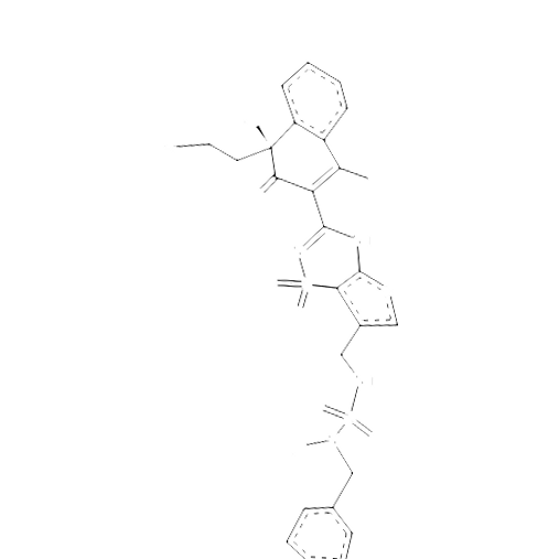 CC(C)(C)CC[C@@]1(C)C(=O)C(C2=NS(=O)(=O)c3c(CNS(=O)(=O)N(Cc4ccccc4)C(=O)O)csc3N2)=C(O)c2ccccc21